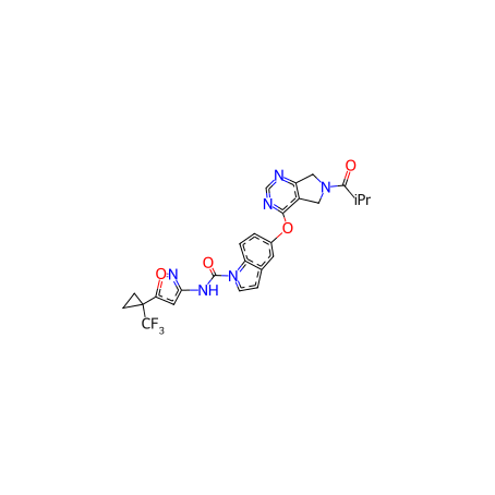 CC(C)C(=O)N1Cc2ncnc(Oc3ccc4c(ccn4C(=O)Nc4cc(C5(C(F)(F)F)CC5)on4)c3)c2C1